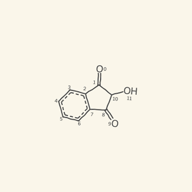 O=C1c2ccccc2C(=O)C1O